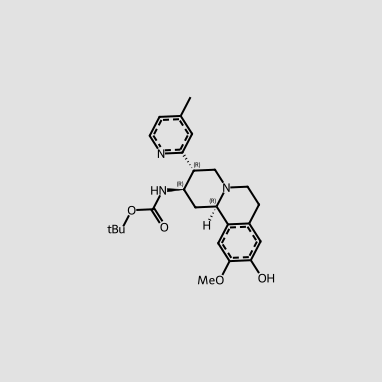 COc1cc2c(cc1O)CCN1C[C@@H](c3cc(C)ccn3)[C@H](NC(=O)OC(C)(C)C)C[C@H]21